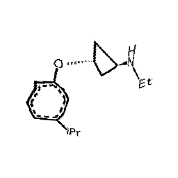 CCN[C@H]1C[C@H](Oc2cccc(C(C)C)c2)C1